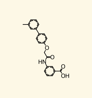 Cc1cccc(-c2ccc(OCC(=O)Nc3cccc(C(=O)O)c3)cc2)c1